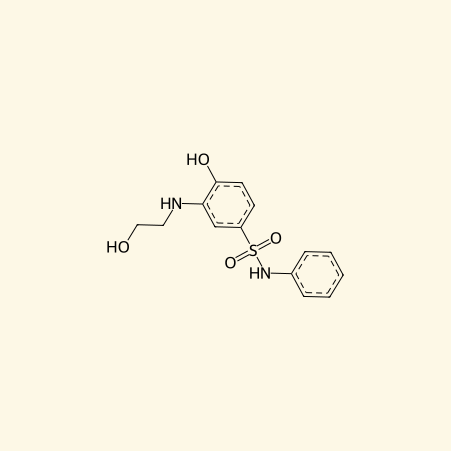 O=S(=O)(Nc1ccccc1)c1ccc(O)c(NCCO)c1